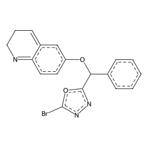 Brc1nnc(C(Oc2ccc3c(c2)=CCCN=3)c2ccccc2)o1